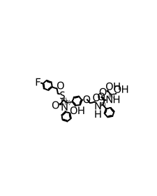 O=C(COc1ccc([C@@H]2[C@@H](SCC(=O)c3ccc(F)cc3)C(=O)N2c2ccccc2)c(O)c1)N[C@@H](C(=O)N[C@H](CO)C(=O)O)c1ccccc1